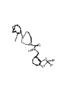 C[C@@H]1CN(c2ccncc2F)CCN1C(=O)NCc1cccc2c1OC(F)(F)O2